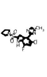 Cn1cnc(-c2c(Cl)cc(F)c3[nH]c(S(=O)(=O)N4CCCC4)cc23)n1